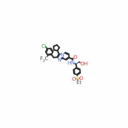 CCS(=O)(=O)c1ccc([C@H](CO)NC(=O)c2ccn3c(C4CCCC4)c(Cc4ccc(Cl)cc4C(F)(F)F)nc3c2)cc1